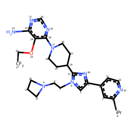 CC(C)c1cc(-c2cn(CCN3CCC3)c(C3CCN(c4ncnc(N)c4OCC(F)(F)F)CC3)n2)ccn1